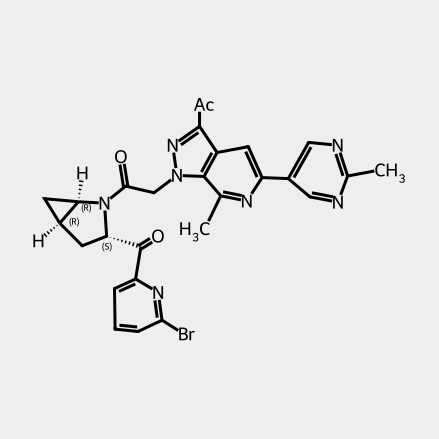 CC(=O)c1nn(CC(=O)N2[C@@H]3C[C@@H]3C[C@H]2C(=O)c2cccc(Br)n2)c2c(C)nc(-c3cnc(C)nc3)cc12